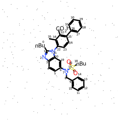 CCCCc1nc2ccc(N(Cc3ccccc3)S(=O)(=O)CCCC)cc2n1-c1ccc(-c2ccccc2)c(C(=O)O)c1C